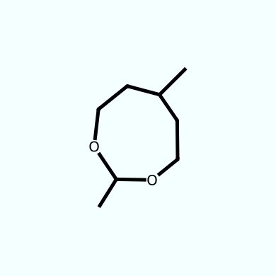 CC1CCOC(C)OCC1